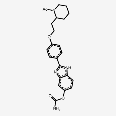 CC(=O)N1CCCCC1CCOc1ccc(-c2nc3cc(OC(N)=O)ccc3[nH]2)cc1